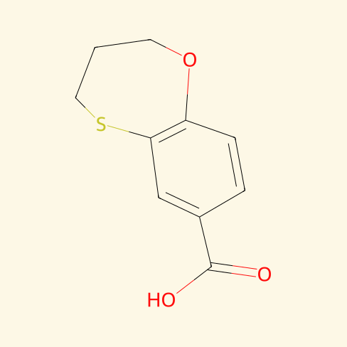 O=C(O)c1ccc2c(c1)SCCCO2